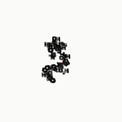 Cc1ncsc1-c1ccc([C@H](C)NC(=O)[C@@H]2C[C@@H](O)CN2C(=O)[C@@H](NC(=O)CC(C)CC(C)NC(=O)C23CC4CC5CC(Cn6ncc(-c7ccc(N8CCc9cccc(C(=O)Nc%10nc%11ccccc%11s%10)c9C8)nc7C(=O)O)c6C)(C2)C45C3)C(C)(C)C)cc1